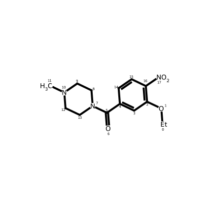 CCOc1cc(C(=O)N2CCN(C)CC2)ccc1[N+](=O)[O-]